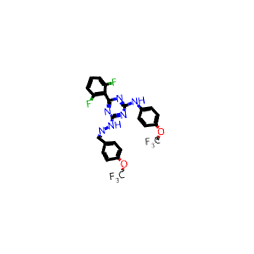 Fc1cccc(F)c1-c1nc(N/N=C\c2ccc(OC(F)(F)F)cc2)nc(Nc2ccc(OC(F)(F)F)cc2)n1